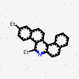 CCc1ccc2c(ccc3c2c(CC)nc2ccc4ccccc4c23)c1